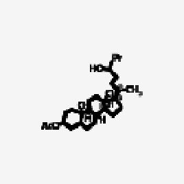 CC(=O)OC1CC[C@@]2(C)C(CC[C@H]3[C@@H]4CC[C@H]([C@H](C)CCC(O)C(C)C)[C@@]4(C)CC[C@@H]32)C1